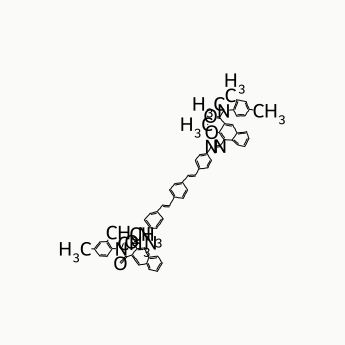 COc1c(C(=O)N(C)c2ccc(C)cc2C)cc2ccccc2c1N=Nc1ccc(C=Cc2ccc(C=Cc3ccc(N=Nc4c(OC)c(C(=O)N(C)c5ccc(C)cc5C)cc5ccccc45)cc3)cc2)cc1